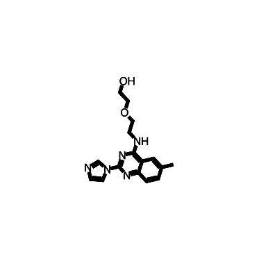 Cc1ccc2nc(-n3ccnc3)nc(NCCOCCO)c2c1